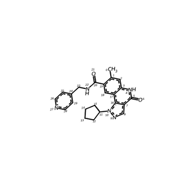 Cc1cc2[nH]c(=O)c3cnn(C4CCCC4)c3c2cc1C(=O)NCc1ccncc1